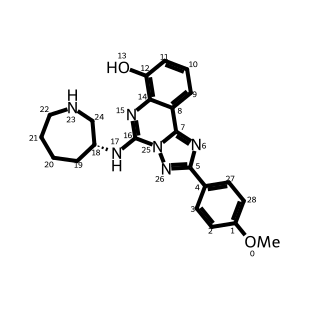 COc1ccc(-c2nc3c4cccc(O)c4nc(N[C@@H]4CCCCNC4)n3n2)cc1